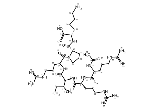 CC[C@H](C)[C@H](NC(=O)[C@H](CCCNC(=N)N)NC(=O)[C@H](CCCNC(=N)N)NC(C)=O)C(=O)N[C@@H](CCCNC(=N)N)C(=O)N1CCC[C@H]1C(=O)N[C@@H](CCCCN)C(=O)O